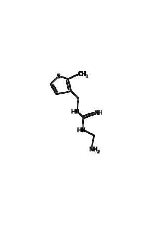 Cc1sccc1CNC(=N)NCN